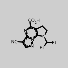 CCC(CC)N1CCc2c(C(=O)O)nc3c(C#N)cnn3c21